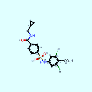 O=C(NCC1CC1)c1ccc(S(=O)(=O)Nc2cc(F)c(C(=O)O)c(F)c2)cc1